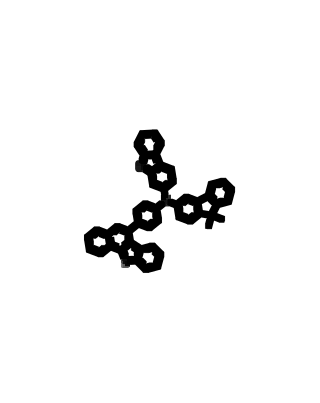 CC1(C)c2ccccc2-c2cc(N(c3ccc(-c4cc5ccccc5c5sc6ccccc6c45)cc3)c3ccc4c(c3)oc3ccccc34)ccc21